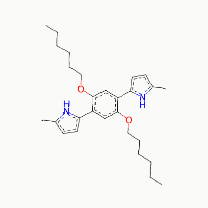 CCCCCCOc1cc(-c2ccc(C)[nH]2)c(OCCCCCC)cc1-c1ccc(C)[nH]1